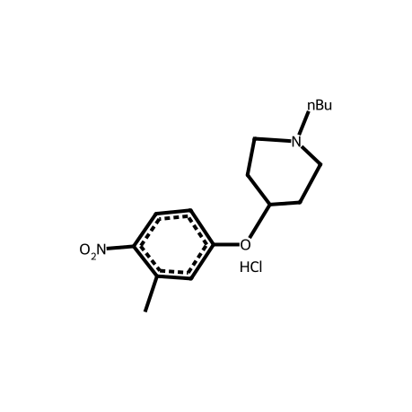 CCCCN1CCC(Oc2ccc([N+](=O)[O-])c(C)c2)CC1.Cl